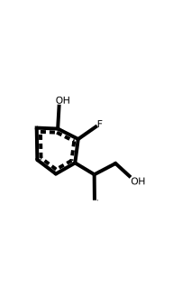 [CH2]C(CO)c1cccc(O)c1F